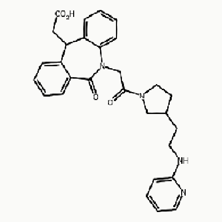 O=C(O)CC1c2ccccc2C(=O)N(CC(=O)N2CCC(CCNc3ccccn3)C2)c2ccccc21